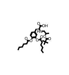 CCCCCC(=O)Oc1ccc(C[C@H](NCC(C)OC(=O)C(C)(C)C)C(=O)O)cc1OC(=O)CCCCC